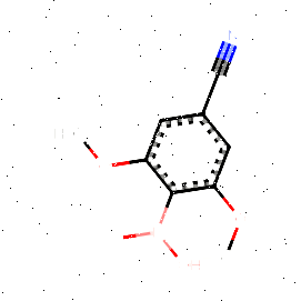 COc1cc(C#N)cc(OC)c1B(O)O